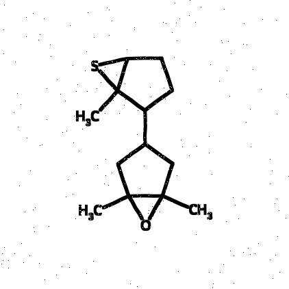 CC12SC1CCC2C1CC2(C)OC2(C)C1